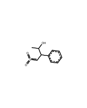 CC(O)C(C=S(=O)=O)c1ccccc1